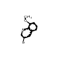 COc1cccc2cc(Br)cnc12